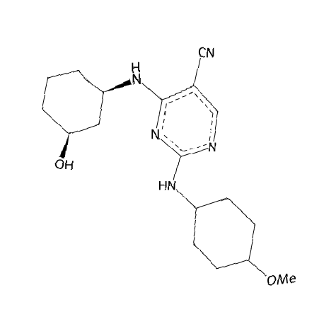 COC1CCC(Nc2ncc(C#N)c(N[C@@H]3CCC[C@H](O)C3)n2)CC1